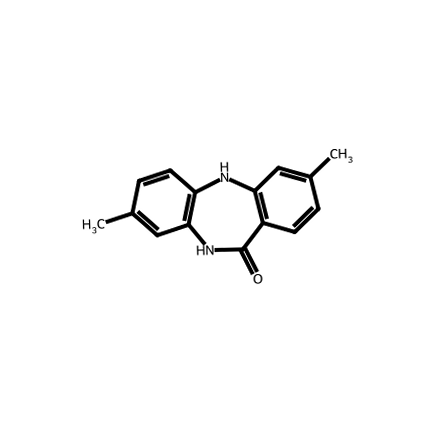 Cc1ccc2c(c1)NC(=O)c1ccc(C)cc1N2